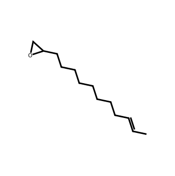 C/C=C/CCCCCCCCC1CO1